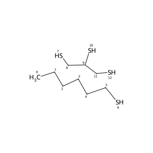 CCCCCCS.SCC(S)CS